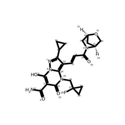 NC(=O)c1c(O)n2nc(C3CC3)c(/C=C/C(=O)N3C[C@@H]4C[C@H]3CO4)c2n(CC2(F)CC2)c1=O